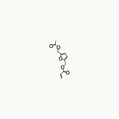 C=CC(=O)OCc1ccc(COC(C)=O)o1